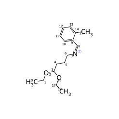 CCOC(CCC/N=C\c1ccccc1C)OCC